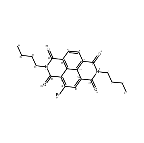 CCCCN1C(=O)c2ccc3c4c(c(Br)cc(c24)C1=O)C(=O)N(CCCC)C3=O